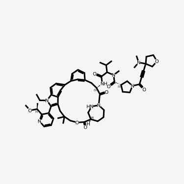 CCn1c(-c2cccnc2[C@H](C)OC)c2c3cc(ccc31)-c1cccc(c1)C[C@H](NC(=O)C(C(C)C)N(C)C(=O)[C@H]1CCN(C(=O)C#CC3(N(C)C)CCOC3)C1)C(=O)N1CCC[C@H](CN1)C(=O)OCC(C)(C)C2